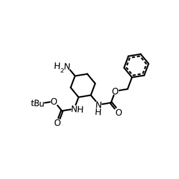 CC(C)(C)OC(=O)NC1CC(N)CCC1NC(=O)OCc1ccccc1